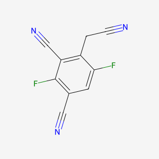 N#CCc1c(F)cc(C#N)c(F)c1C#N